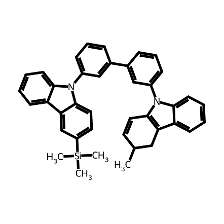 CC1C=Cc2c(c3ccccc3n2-c2cccc(-c3cccc(-n4c5ccccc5c5cc([Si](C)(C)C)ccc54)c3)c2)C1